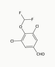 O=Cc1cc(Cl)c(OC(F)F)c(Cl)c1